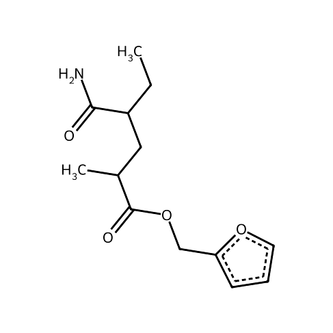 CCC(CC(C)C(=O)OCc1ccco1)C(N)=O